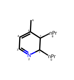 CCCC1N=CC=C(C)C1CCC